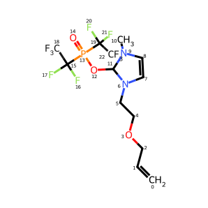 C=CCOCCN1C=CN(C)C1OP(=O)(C(F)(F)C(F)(F)F)C(F)(F)C(F)(F)F